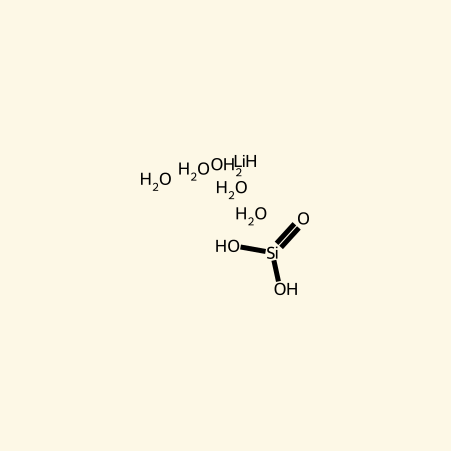 O.O.O.O.O.O=[Si](O)O.[LiH]